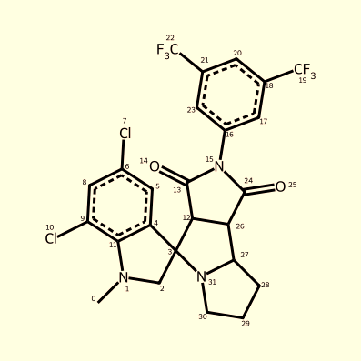 CN1CC2(c3cc(Cl)cc(Cl)c31)C1C(=O)N(c3cc(C(F)(F)F)cc(C(F)(F)F)c3)C(=O)C1C1CCCN12